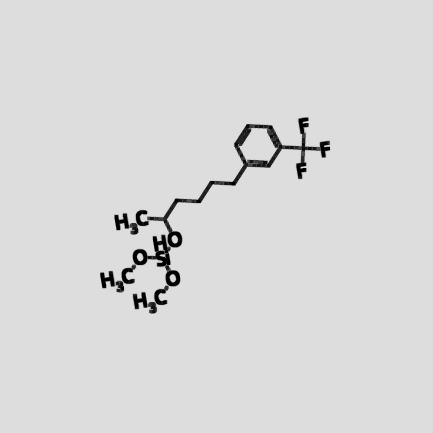 CO[SiH](OC)OC(C)CCCCc1cccc(C(F)(F)F)c1